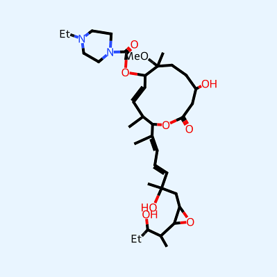 CCC(O)C(C)C1OC1CC(C)(O)/C=C/C=C(\C)C1OC(=O)CC(O)CCC(C)(OC)C(OC(=O)N2CCN(CC)CC2)/C=C/C1C